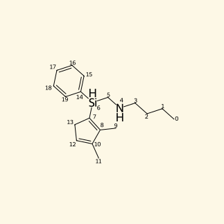 CCCCNC[SiH](C1=C(C)C(C)=CC1)c1ccccc1